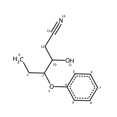 CCC(Oc1ccccc1)C(O)CC#N